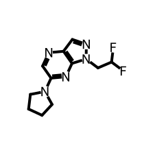 FC(F)Cn1ncc2ncc(N3CCCC3)nc21